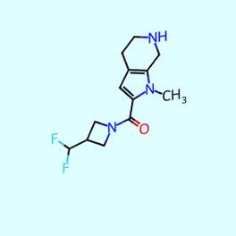 Cn1c(C(=O)N2CC(C(F)F)C2)cc2c1CNCC2